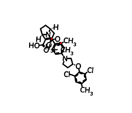 Cc1cc(Cl)c(O[C@@H]2CCN(c3ccc(C4=C(C(=O)O)[C@H]5CC[C@@H](C4)N5C(=O)OC(C)(C)C)cc3)C2)c(Cl)c1